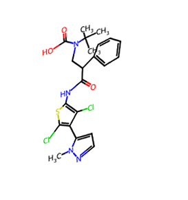 Cn1nccc1-c1c(Cl)sc(NC(=O)C(CN(C(=O)O)C(C)(C)C)c2ccccc2)c1Cl